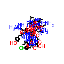 CC[C@H](NC(=O)[C@H](CC(C)C)NC(=O)[C@@H](NC(=O)[C@H](CCCN)NC(=O)[C@H](Cc1c[nH]cn1)NC(=O)[C@H](Cc1cccc(F)c1)NC(=O)[C@H](CCCCNC(=N)N)NC(=O)[C@H](C)NC(=O)[C@@H](NC(=O)[C@H](Cc1ccc(Cl)cc1)NC(=O)[C@@H](NC(=O)[C@H](C)NC(=O)[C@H](CC(=O)O)NC(=O)[C@@H](CCCNC(=N)N)NC(=O)[C@@H](N)Cc1ccc(O)cc1)[C@@H](C)CC)[C@@H](C)O)C(C)C)C(=O)N[C@@H](CCC(N)=O)C(=O)O